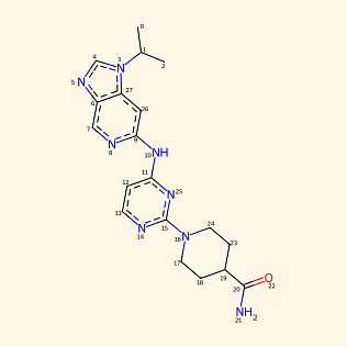 CC(C)n1cnc2cnc(Nc3ccnc(N4CCC(C(N)=O)CC4)n3)cc21